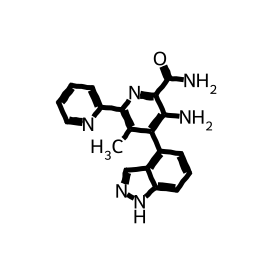 Cc1c(-c2ccccn2)nc(C(N)=O)c(N)c1-c1cccc2[nH]ncc12